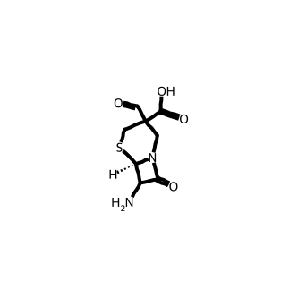 NC1C(=O)N2CC(C=O)(C(=O)O)CS[C@H]12